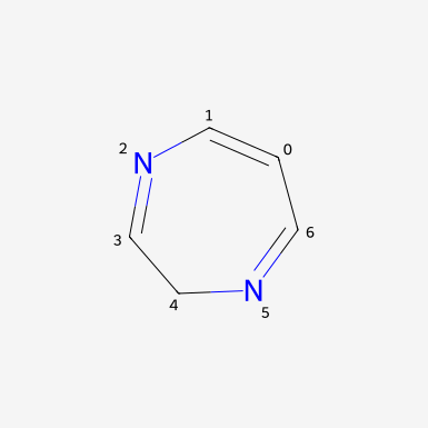 C1=CN=CCN=C1